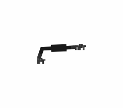 [CH2]C(C)CC#CCCC